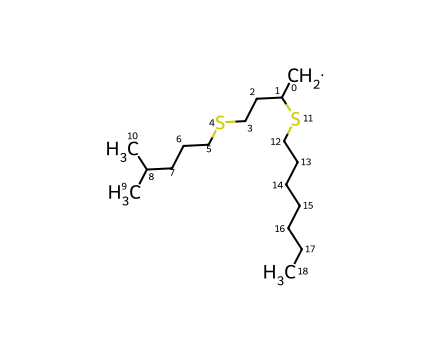 [CH2]C(CCSCCCC(C)C)SCCCCCCC